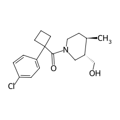 C[C@@H]1CCN(C(=O)C2(c3ccc(Cl)cc3)CCC2)C[C@H]1CO